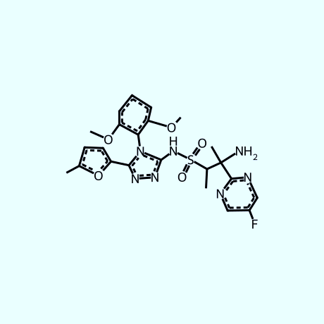 COc1cccc(OC)c1-n1c(NS(=O)(=O)C(C)C(C)(N)c2ncc(F)cn2)nnc1-c1ccc(C)o1